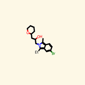 CCc1c2cc(Br)ccc2c(C)n1CC(O)CC1CCCCO1